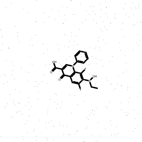 CCN(O)c1c(F)cc2c(=O)c(C(=O)O)cn(-c3ccccc3)c2c1F